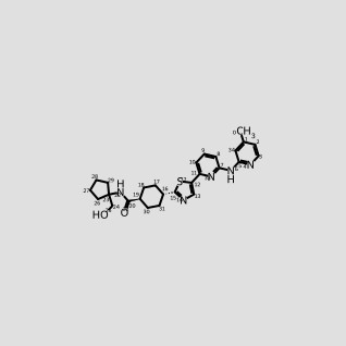 Cc1ccnc(Nc2cccc(-c3cnc([C@H]4CC[C@H](C(=O)NC5(CO)CCCC5)CC4)s3)n2)c1